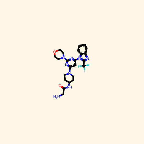 NCC(=O)NC1CCN(c2cc(-n3c(C(F)(F)F)nc4ccccc43)nc(N3CCOCC3)n2)CC1